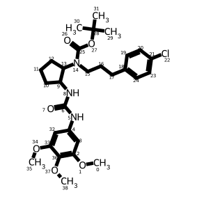 COc1cc(NC(=O)NC2CCCC2N(CCCc2ccc(Cl)cc2)C(=O)OC(C)(C)C)cc(OC)c1OC